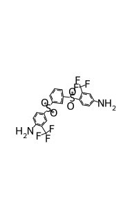 Nc1ccc(S(=O)(=O)c2cccc(S(=O)(=O)c3ccc(N)c(C(F)(F)F)c3)c2)c(C(F)(F)F)c1